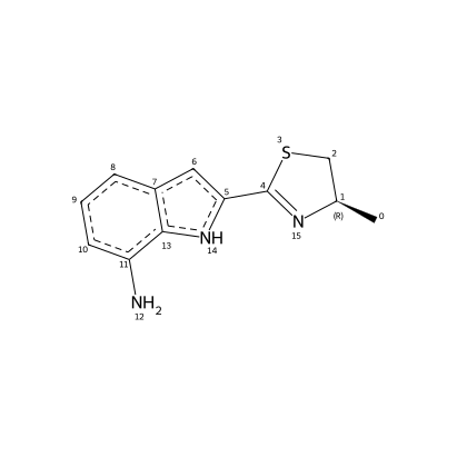 C[C@@H]1CSC(c2cc3cccc(N)c3[nH]2)=N1